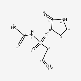 C=CCS(=O)(=O)NC(=S)S.O=C1CCCN1